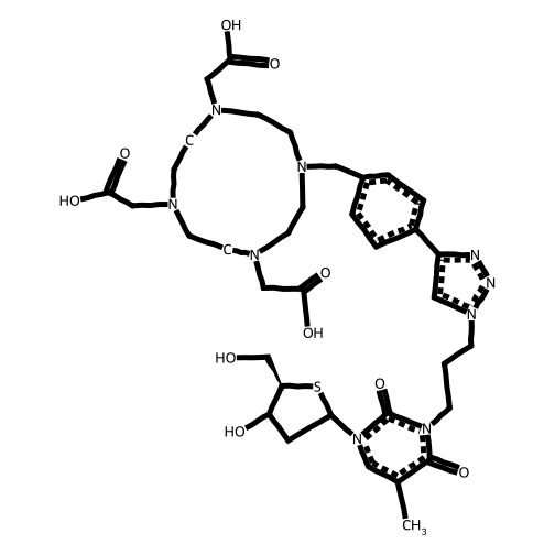 Cc1cn(C2CC(O)[C@@H](CO)S2)c(=O)n(CCCn2cc(-c3ccc(CN4CCN(CC(=O)O)CCN(CC(=O)O)CCN(CC(=O)O)CC4)cc3)nn2)c1=O